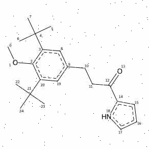 COc1c(C(C)(C)C)cc(CCC(=O)c2ccc[nH]2)cc1C(C)(C)C